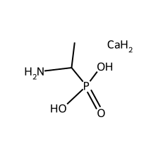 CC(N)P(=O)(O)O.[CaH2]